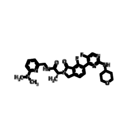 C[C@H](C(=O)NCc1cccc(N(C)C)n1)N1Cc2ccc(-c3nc(NC4CCOCC4)ncc3F)c(F)c2C1=O